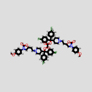 COc1ccc(N2CC(CCN3CCC(C(OC(=O)C(=O)OC(c4ccc(F)cc4)(c4ccc(F)cc4)C4CCN(CCC5CN(c6ccc(OC)cc6)C(=O)O5)CC4)(c4ccc(F)cc4)c4ccc(F)cc4)CC3)OC2=O)cc1